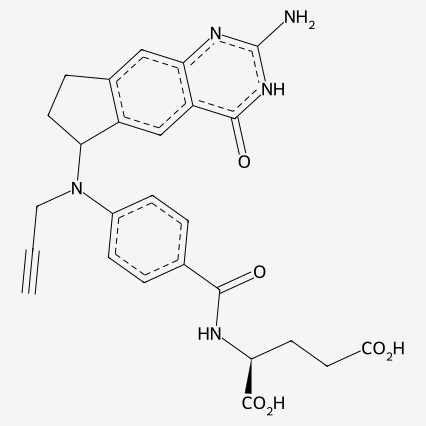 C#CCN(c1ccc(C(=O)N[C@@H](CCC(=O)O)C(=O)O)cc1)C1CCc2cc3nc(N)[nH]c(=O)c3cc21